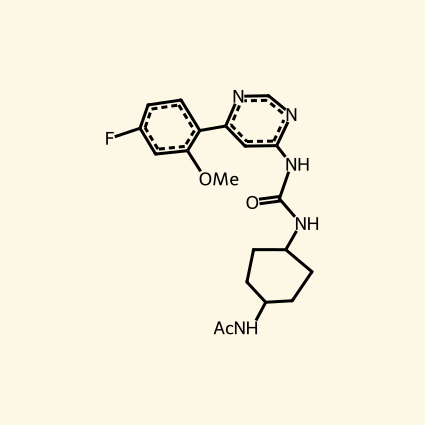 COc1cc(F)ccc1-c1cc(NC(=O)NC2CCC(NC(C)=O)CC2)ncn1